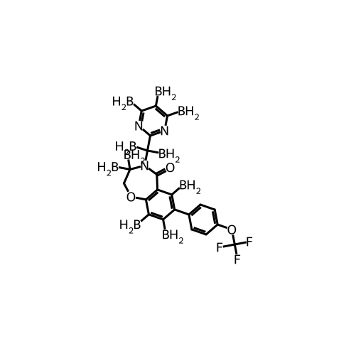 Bc1nc(C(B)(B)N2C(=O)c3c(B)c(-c4ccc(OC(F)(F)F)cc4)c(B)c(B)c3OCC2(B)B)nc(B)c1B